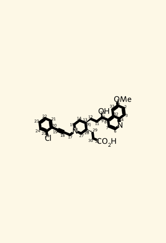 COc1ccc2nccc([C@H](O)CC[C@@H]3CCN(CC#Cc4ccccc4Cl)C[C@H]3CCC(=O)O)c2c1